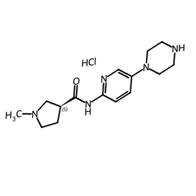 CN1CC[C@H](C(=O)Nc2ccc(N3CCNCC3)cn2)C1.Cl